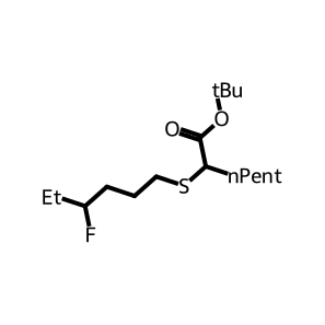 CCCCCC(SCCCC(F)CC)C(=O)OC(C)(C)C